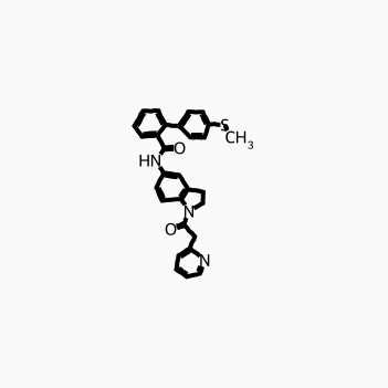 CSc1ccc(-c2ccccc2C(=O)Nc2ccc3c(c2)CCN3C(=O)Cc2ccccn2)cc1